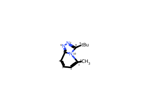 Cc1cccc2nnc(C(C)(C)C)n12